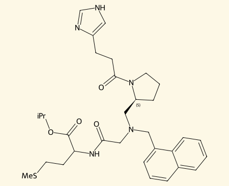 CSCCC(NC(=O)CN(Cc1cccc2ccccc12)C[C@@H]1CCCN1C(=O)CCc1c[nH]cn1)C(=O)OC(C)C